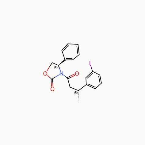 C[C@H](CC(=O)N1C(=O)OC[C@H]1c1ccccc1)c1cccc(I)c1